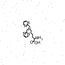 NC(CCCCN(Cc1ncccn1)Cc1ncccn1)C(=O)O